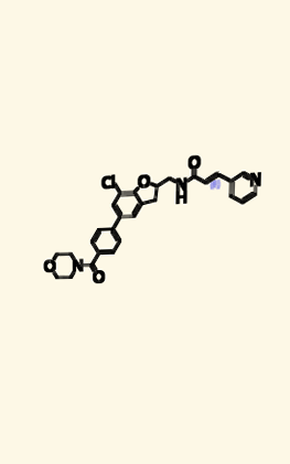 O=C(/C=C/c1cccnc1)NCC1Cc2cc(-c3ccc(C(=O)N4CCOCC4)cc3)cc(Cl)c2O1